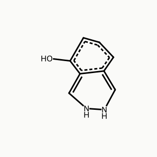 Oc1cccc2c1=CNNC=2